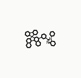 c1ccc(-n2c(-c3cccc(-c4cc5c(c6ccccc46)-c4c(ccc6ccccc46)C54c5ccccc5-c5ccccc54)c3)nc3ccccc32)cc1